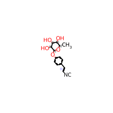 [C-]#[N+]/C=C/c1ccc(O[C@@H]2O[C@@H](C)[C@H](O)[C@@H](O)[C@H]2O)cc1